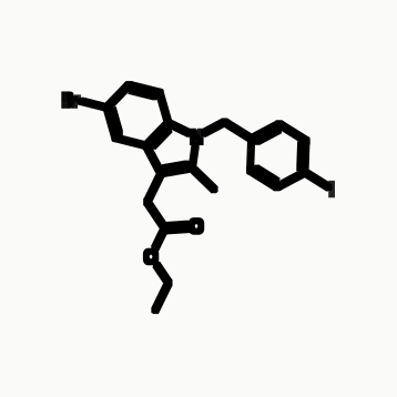 CCOC(=O)Cc1c(C)n(Cc2ccc(I)cc2)c2ccc(Br)cc12